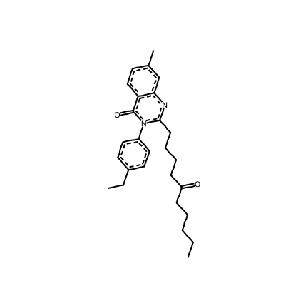 CCCCCC(=O)CCCCc1nc2cc(C)ccc2c(=O)n1-c1ccc(CC)cc1